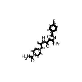 CCCc1nc(-c2ccc(F)cc2)oc1C(=O)NC(C)CN1CCN(C(N)=O)CC1